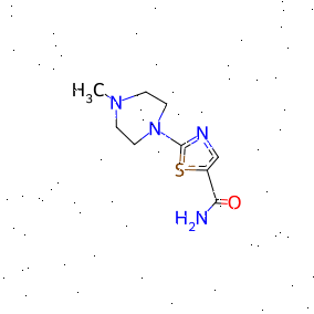 CN1CCN(c2ncc(C(N)=O)s2)CC1